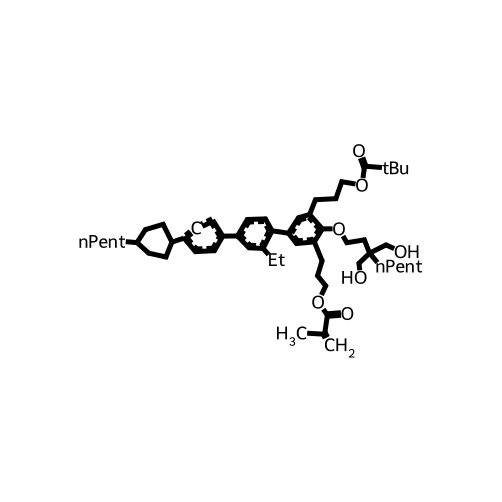 C=C(C)C(=O)OCCCc1cc(-c2ccc(-c3ccc(C4CCC(CCCCC)CC4)cc3)cc2CC)cc(CCCOC(=O)C(C)(C)C)c1OCCC(CO)(CO)CCCCC